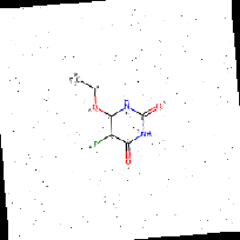 O=C1NC(=O)C(F)C(OCC(F)(F)F)N1